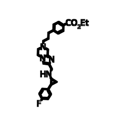 CCOC(=O)c1ccc(CCCN2CCn3cc(CNC4CC4c4ccc(F)cc4)nc3C2)cc1